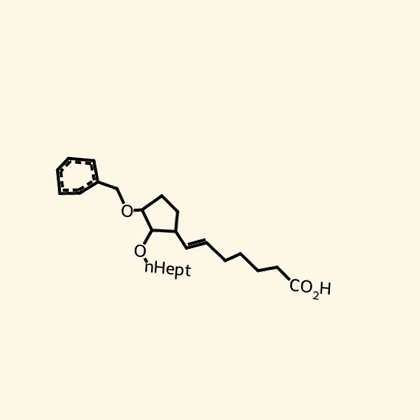 CCCCCCCOC1C(/C=C/CCCCC(=O)O)CCC1OCc1ccccc1